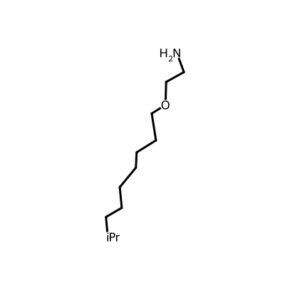 CC(C)CCCCCCCOCCN